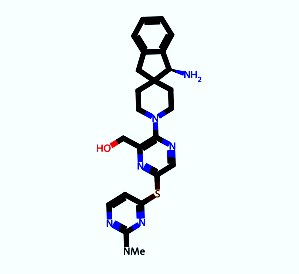 CNc1nccc(Sc2cnc(N3CCC4(CC3)Cc3ccccc3[C@H]4N)c(CO)n2)n1